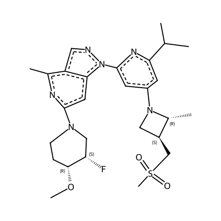 CO[C@@H]1CCN(c2cc3c(cnn3-c3cc(N4C[C@H](CS(C)(=O)=O)[C@H]4C)cc(C(C)C)n3)c(C)n2)C[C@@H]1F